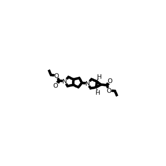 CCOC(=O)C1[C@H]2CN(C3CC4CN(C(=O)OCC)CC4C3)C[C@@H]12